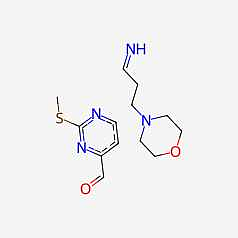 CSc1nccc(C=O)n1.N=CCCN1CCOCC1